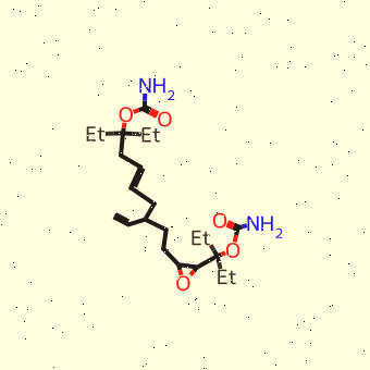 C=CC(C/C=C/CC(CC)(CC)OC(N)=O)CCC1OC1C(CC)(CC)OC(N)=O